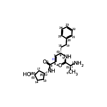 C[C@H](N)C(=O)N[C@H](/C=C/C(=O)N[C@@H]1CC[C@H](O)C1)CCc1ccccc1